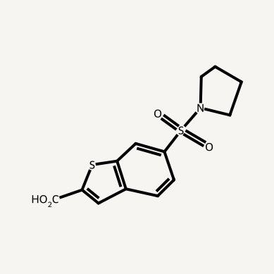 O=C(O)c1cc2ccc(S(=O)(=O)N3CCCC3)cc2s1